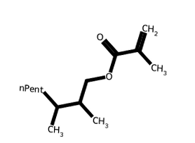 C=C(C)C(=O)OCC(C)C(C)CCCCC